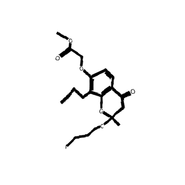 CCCc1c(OCC(=O)OC)ccc2c1OC(C)(CCCCI)CC2=O